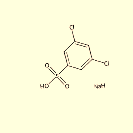 O=S(=O)(O)c1cc(Cl)cc(Cl)c1.[NaH]